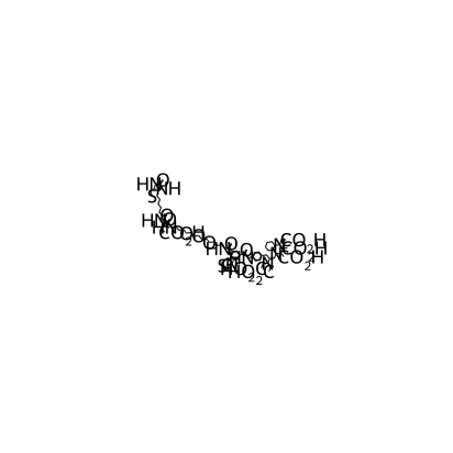 O=C(O)CC(NC(=O)CCCCC1SCC2NC(=O)NC21)C(=O)NCCCOCCOCCOCCCNC(=O)c1cc(N=C=S)cc(C(=O)Nc2ccc(CC(CN(CC(=O)O)C3CCCCC3N(CC(=O)O)CC(=O)O)N(CC(=O)O)CC(=O)O)cc2)c1